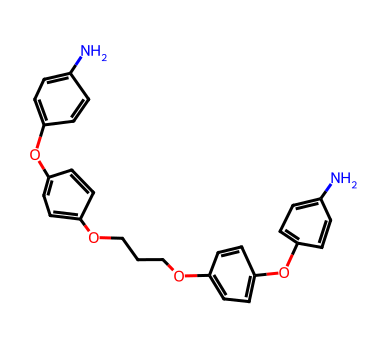 Nc1ccc(Oc2ccc(OCCCOc3ccc(Oc4ccc(N)cc4)cc3)cc2)cc1